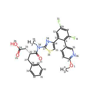 COc1ccc(-c2c(F)cc(F)cc2-c2csc(N(C)C(=O)[C@@H](CC(=O)O)Cc3ccccc3)n2)cn1